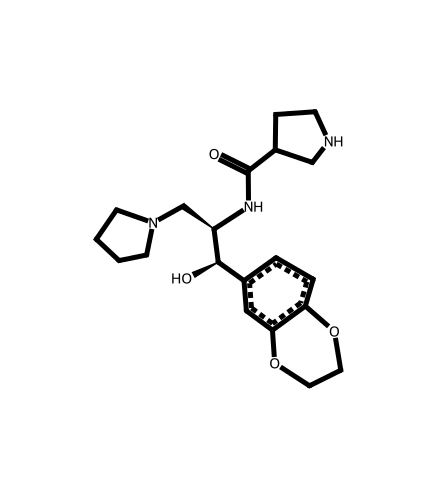 O=C(N[C@H](CN1CCCC1)[C@H](O)c1ccc2c(c1)OCCO2)C1CCNC1